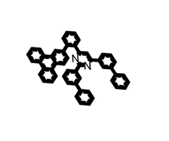 c1ccc(-c2cccc(-c3cc(-c4ccccc4-c4ccc5c6ccccc6c6ccccc6c5c4)nc(-c4cccc(-c5ccccc5)c4)n3)c2)cc1